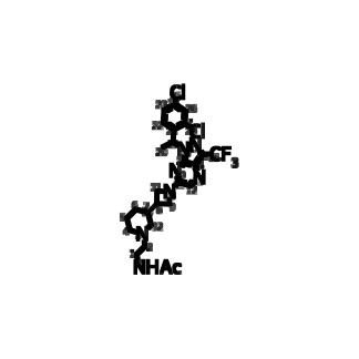 CC(=O)NCCN1CCC[C@@H](C2CN(c3cnc4c(C(F)(F)F)nn(C(C)c5ccc(Cl)cc5Cl)c4n3)C2)C1